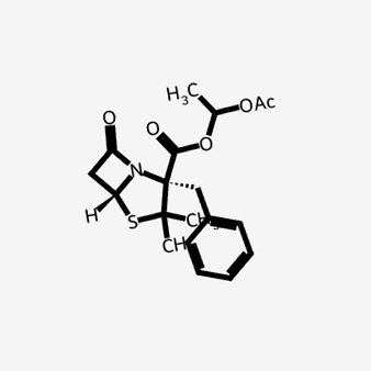 CC(=O)OC(C)OC(=O)[C@]1(Cc2ccccc2)N2C(=O)C[C@H]2SC1(C)C